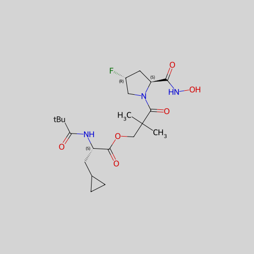 CC(C)(C)C(=O)N[C@@H](CC1CC1)C(=O)OCC(C)(C)C(=O)N1C[C@H](F)C[C@H]1C(=O)NO